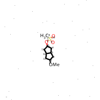 COC1CC2CC(OS(C)(=O)=O)CC2C1